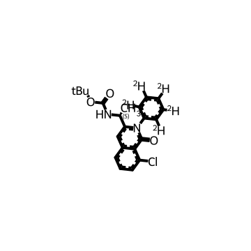 [2H]c1c([2H])c([2H])c(-n2c([C@H](C)NC(=O)OC(C)(C)C)cc3cccc(Cl)c3c2=O)c([2H])c1[2H]